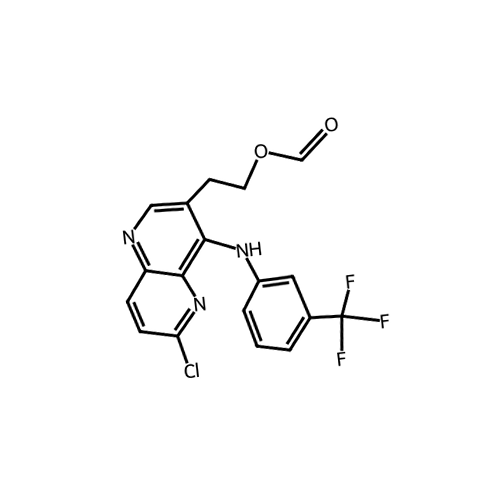 O=COCCc1cnc2ccc(Cl)nc2c1Nc1cccc(C(F)(F)F)c1